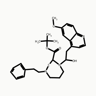 COc1ccc2nccc(CC(O)N3CCCN(CCc4ccccc4)CC3C(=O)OC(C)(C)C)c2c1